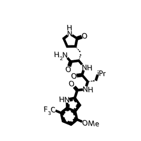 COc1ccc(C(F)(F)F)c2[nH]c(C(=O)N[C@@H](CC(C)C)C(=O)N[C@@H](C[C@@H]3CCNC3=O)C(N)=O)cc12